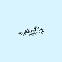 CC(Oc1ccc2c(-c3ccccc3)ccnc2c1)C(=O)N1CCC[C@H](C(=O)O)C1